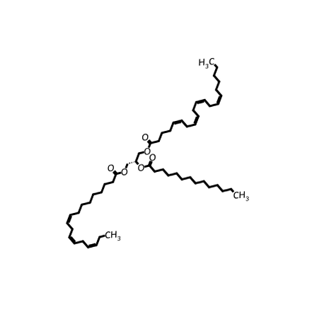 CC/C=C\C/C=C\C/C=C\CCCCCCCC(=O)OC[C@H](COC(=O)CCC/C=C\C/C=C\C/C=C\C/C=C\CCCCC)OC(=O)CCCCCCCCCCCCC